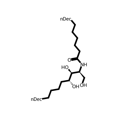 CCCCCCCCCCCCCCCC(=O)N[C@@H](CO)[C@H](O)[C@H](O)CCCCCCCCCCCCCC